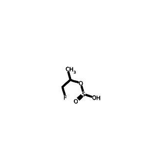 CC(CF)OS(=O)O